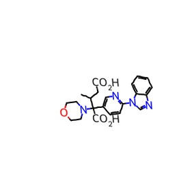 CC(CC(=O)O)C(C(=O)O)(c1ccc(-n2cnc3ccccc32)nc1)N1CCOCC1